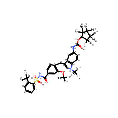 [2H]C([2H])([2H])Oc1cc(C(=O)NS(=O)(=O)c2ccccc2C([2H])([2H])[2H])ccc1Cc1cn(C([2H])([2H])[2H])c2ccc(NC(=O)OC3C([2H])([2H])C([2H])([2H])C([2H])([2H])C3([2H])[2H])cc12